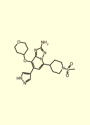 CS(=O)(=O)N1CCC(c2cc(-c3cn[nH]c3)c(OC3CCOCC3)c3nc(N)nn23)CC1